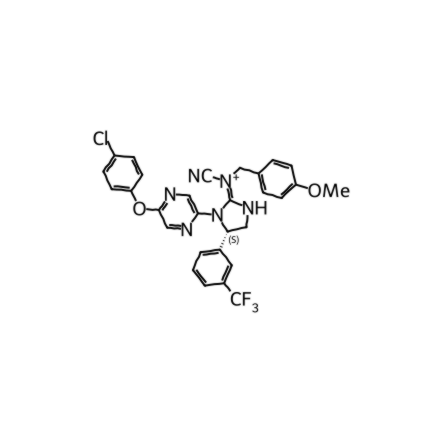 COc1ccc(C[N+](C#N)=C2NC[C@H](c3cccc(C(F)(F)F)c3)N2c2cnc(Oc3ccc(Cl)cc3)cn2)cc1